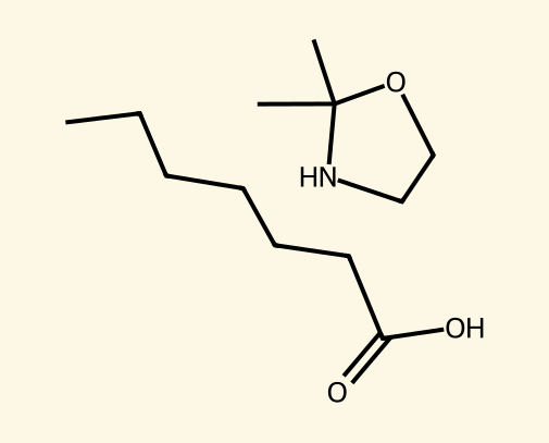 CC1(C)NCCO1.CCCCCCC(=O)O